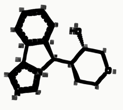 O[C@@H]1COCC[C@H]1[C@@H]1c2ccccc2-c2cncn21